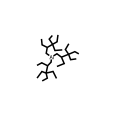 CCC([CH2][Al]([CH2]C(CC)C(CC)(CC)CC)[CH2]C(CC)C(CC)(CC)CC)C(CC)(CC)CC